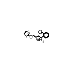 Clc1ccccc1CCCCOC1N=CCS1.[SiH4]